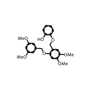 COc1cc(COc2cc(OC)c(OC)cc2COc2ccccc2O)cc(OC)c1